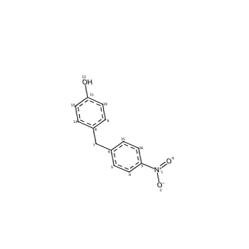 O=[N+]([O-])c1ccc(Cc2ccc(O)cc2)cc1